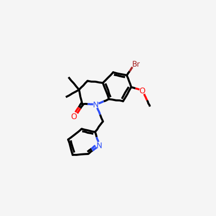 COc1cc2c(cc1Br)CC(C)(C)C(=O)N2Cc1ccccn1